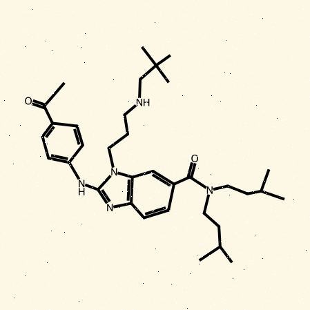 CC(=O)c1ccc(Nc2nc3ccc(C(=O)N(CCC(C)C)CCC(C)C)cc3n2CCCNCC(C)(C)C)cc1